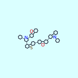 c1ccc(-c2cc(-c3cccc4sc5cc(-c6ccc7c(c6)oc6ccc(-c8ccc9c%10ccccc%10n(-c%10ccccc%10)c9c8)cc67)ccc5c34)cc(-c3ccc4c(c3)oc3ccccc34)n2)cc1